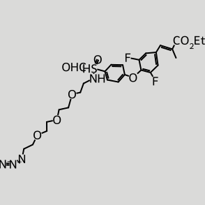 CCOC(=O)/C(C)=C/c1cc(F)c(Oc2ccc([SH](=O)(C=O)NCCOCCOCCOCCN=[N+]=[N-])cc2)c(F)c1